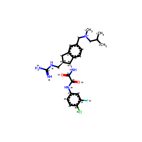 CC(C)CN(C)Cc1ccc2c(c1)C[C@H](CNC(=N)N)[C@H]2NC(=O)C(=O)Nc1ccc(Cl)c(F)c1